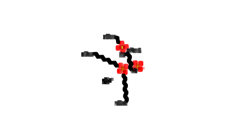 CCCCCC(CC)CCC(CC(C)C)OS(=O)(=O)[O-].CCCCCCCCCCCCCCCCCCOS(=O)(=O)OCCCCCCCCCCCCCCCCCC.CCCCCCCCCCCCOS(=O)(=O)[O-].[Na+].[Na+]